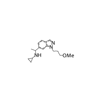 COCCCn1ncc2ccc(C(C)NC3CC3)cc21